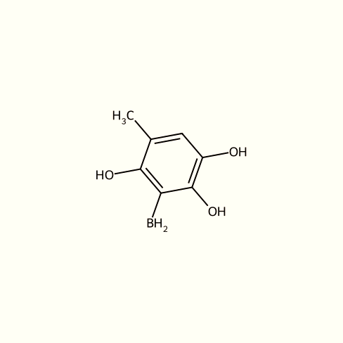 Bc1c(O)c(C)cc(O)c1O